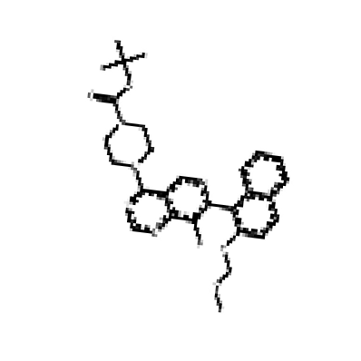 COCOc1ccc2ccccc2c1-c1ncc2c(N3CCN(C(=O)OC(C)(C)C)CC3)ncnc2c1F